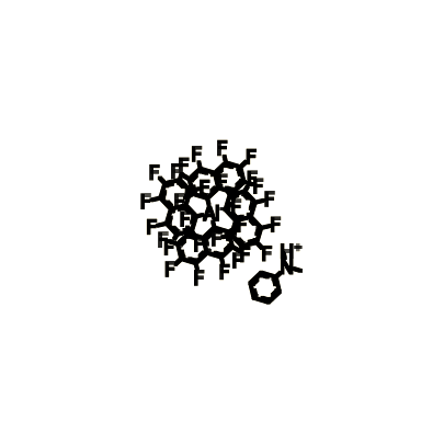 C[NH+](C)c1ccccc1.Fc1c(F)c(F)c2[c]([Al-]([c]3c(F)c(F)c(F)c4c(F)c(F)c(F)c(F)c34)([c]3c(F)c(F)c(F)c4c(F)c(F)c(F)c(F)c34)[c]3c(F)c(F)c(F)c4c(F)c(F)c(F)c(F)c34)c(F)c(F)c(F)c2c1F